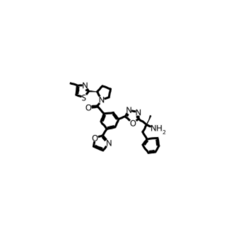 Cc1csc([C@H]2CCCN2C(=O)c2cc(-c3ncco3)cc(-c3nnc([C@](C)(N)Cc4ccccc4)o3)c2)n1